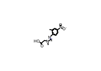 Cc1cc([N+](=O)[O-])ccc1/N=N/N(C)CC(=O)O